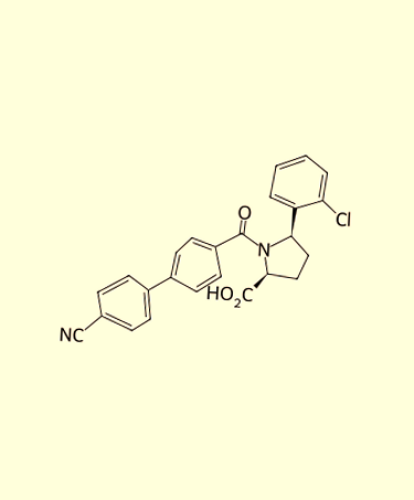 N#Cc1ccc(-c2ccc(C(=O)N3[C@@H](c4ccccc4Cl)CC[C@H]3C(=O)O)cc2)cc1